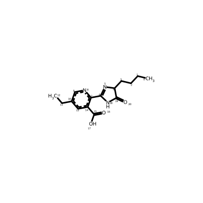 CCCCC1N=C(c2ncc(CC)cc2C(=O)O)NC1=O